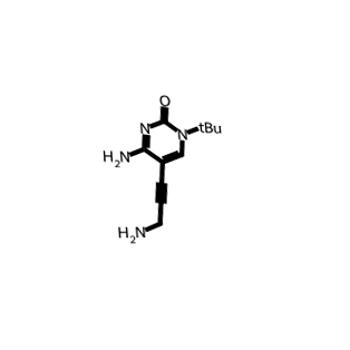 CC(C)(C)n1cc(C#CCN)c(N)nc1=O